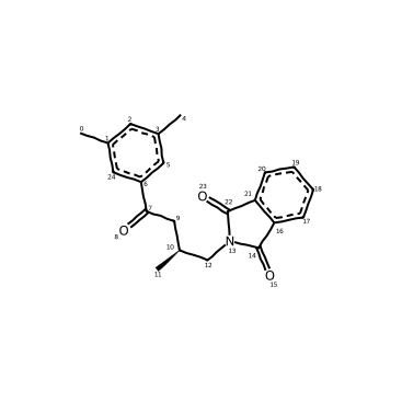 Cc1cc(C)cc(C(=O)C[C@H](C)CN2C(=O)c3ccccc3C2=O)c1